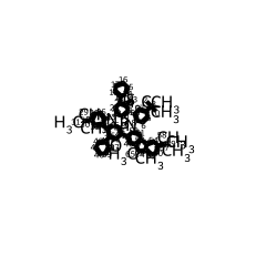 CC(C)(C)c1ccc(N2B3c4cc5sc6ccccc6c5cc4-n4c5ccc(C(C)(C)C)cc5c5c6c(oc7ccccc76)c(c3c54)-c3cc4c(cc32)-c2cc(C(C)(C)C)ccc2C4(C)C)cc1